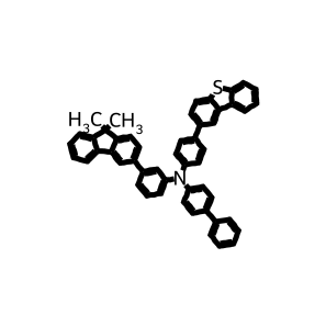 CC1(C)c2ccccc2-c2cc(-c3cccc(N(c4ccc(-c5ccccc5)cc4)c4ccc(-c5ccc6sc7ccccc7c6c5)cc4)c3)ccc21